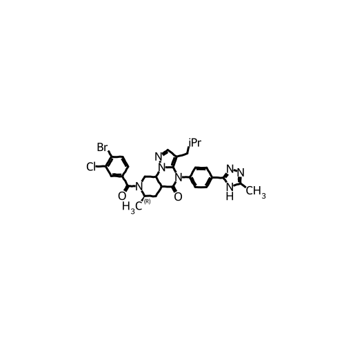 Cc1nnc(-c2ccc(N3C(=O)C4C[C@@H](C)N(C(=O)c5ccc(Br)c(Cl)c5)CC4n4ncc(CC(C)C)c43)cc2)[nH]1